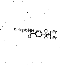 CCCCCCCNC(=O)c1ccc(S(=O)(=O)N(CCC)CCC)cc1